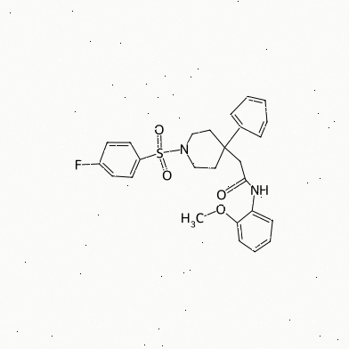 COc1ccccc1NC(=O)CC1(c2ccccc2)CCN(S(=O)(=O)c2ccc(F)cc2)CC1